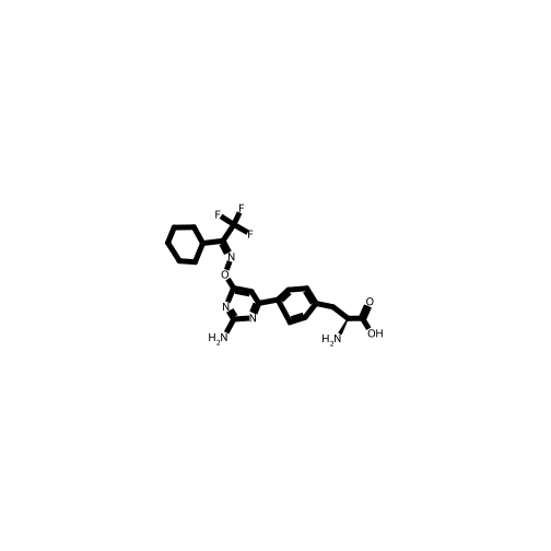 Nc1nc(O/N=C(\C2CCCCC2)C(F)(F)F)cc(-c2ccc(C[C@H](N)C(=O)O)cc2)n1